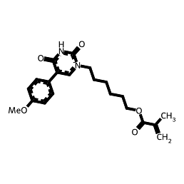 C=C(C)C(=O)OCCCCCCn1cc(-c2ccc(OC)cc2)c(=O)[nH]c1=O